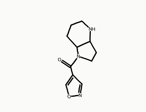 O=C(c1cnoc1)N1CCC2NCCCC21